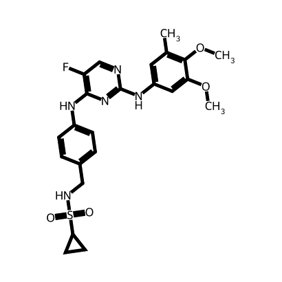 COc1cc(Nc2ncc(F)c(Nc3ccc(CNS(=O)(=O)C4CC4)cc3)n2)cc(C)c1OC